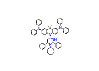 CC1(C)c2cc(N(c3ccccc3)c3ccccc3)ccc2N(C2CC(c3ccccc3)N(C3CCCCCC3)C(c3ccccc3)N2)c2ccc(N(c3ccccc3)c3ccccc3)cc21